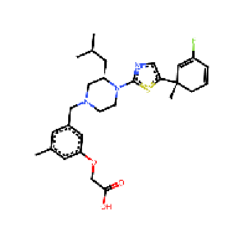 Cc1cc(CN2CCN(c3ncc([C@]4(C)C=C(F)C=CC4)s3)[C@H](CC(C)C)C2)cc(OCC(=O)O)c1